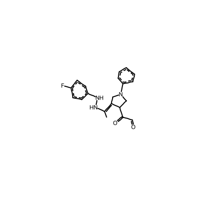 CC(NNc1ccc(F)cc1)=C1CN(c2ccccc2)CC1C(=O)C=O